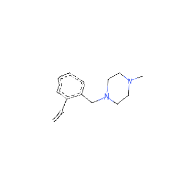 C=Cc1ccccc1CN1CCN(C)CC1